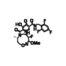 CO/C1=N/OCC[C@H](C)N2C[C@@H]([C@H]1F)n1cc(C(=O)NCc3c(F)cc(F)cc3F)c(=O)c(O)c1C2=O